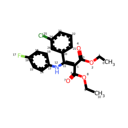 CCOC(=O)C(C(=O)OCC)=C(Nc1ccc(F)cc1)c1cccc(Cl)c1